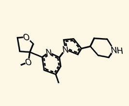 COC1(c2cc(C)cc(-n3ccc(C4CCNCC4)c3)n2)CCOC1